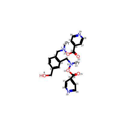 CC(C)N(Cc1ccc(CO)cc1CN(OC(=O)c1ccncc1)C(C)C)OC(=O)c1ccncc1